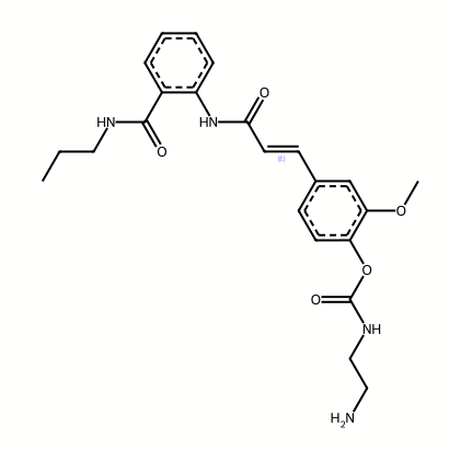 CCCNC(=O)c1ccccc1NC(=O)/C=C/c1ccc(OC(=O)NCCN)c(OC)c1